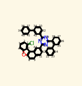 Clc1cccc2oc3ccc4ccc(-c5nc(C6=C(c7ccccc7)C=CCC6)nc(-c6cccc(-c7ccccc7)c6)n5)cc4c3c12